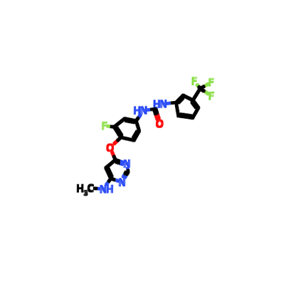 CNc1cc(Oc2ccc(NC(=O)Nc3cccc(C(F)(F)F)c3)cc2F)ncn1